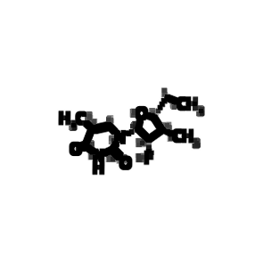 CC[C@H]1O[C@@H](n2cc(C)c(=O)[nH]c2=O)[C@@H](F)[C@@H]1C